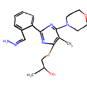 Cc1c(SCC(C)O)nc(-c2ccccc2/C=N\N)nc1N1CCOCC1